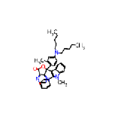 CCCCCN(CCCCC)c1ccc(C2(c3c(-c4ccccc4)n(C)c4ccccc34)OC(=O)c3nccnc32)c(C)c1